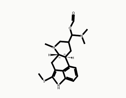 CSc1[nH]c2cccc3c2c1C[C@H]1[C@H]3CC(C(OC=O)N(C)C)CN1C